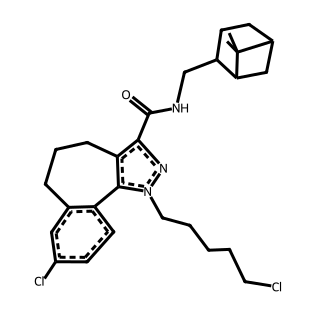 CC1(C)C2CCC(CNC(=O)c3nn(CCCCCCl)c4c3CCCc3cc(Cl)ccc3-4)C1C2